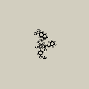 COc1ccc(-n2c(C(=O)NCc3ccccc3)c3n(c2=O)CCN(c2nncc4cc(Cl)c(Cl)cc24)C3)cc1